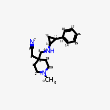 CN1CCC(CC#N)(CNC2CC2c2ccccc2)CC1